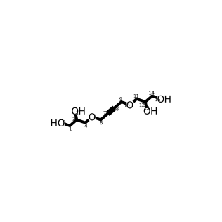 OCC(O)COCC#CCOCC(O)CO